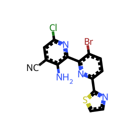 N#Cc1cc(Cl)nc(-c2nc(-c3nccs3)ccc2Br)c1N